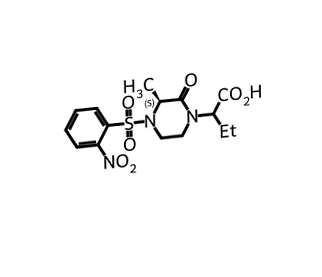 CCC(C(=O)O)N1CCN(S(=O)(=O)c2ccccc2[N+](=O)[O-])[C@@H](C)C1=O